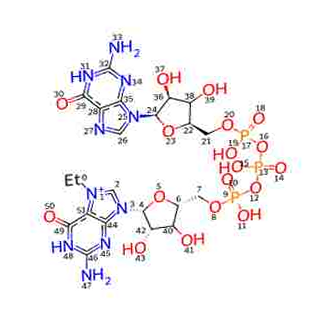 CC[n+]1cn([C@@H]2O[C@H](COP(=O)(O)OP(=O)(O)OP(=O)(O)OC[C@H]3O[C@@H](n4cnc5c(=O)[nH]c(N)nc54)[C@@H](O)C3O)C(O)[C@@H]2O)c2nc(N)[nH]c(=O)c21